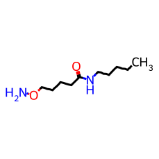 CCCCCNC(=O)CCCCON